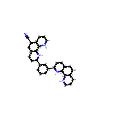 N#Cc1cc2ccc(-c3cccc(-c4ccc5ccc6cccnc6c5n4)c3)nc2c2ncccc12